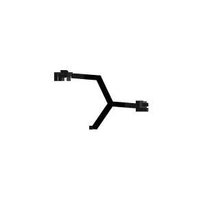 [CH2]CCCC([CH2])CC